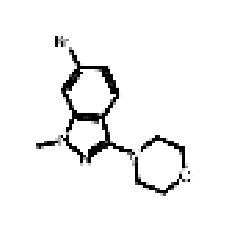 Cn1nc(N2CCOCC2)c2ccc(Br)cc21